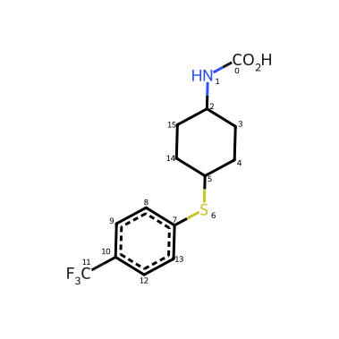 O=C(O)NC1CCC(Sc2ccc(C(F)(F)F)cc2)CC1